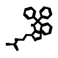 O=C(O)NCCn1nccc1NC(c1ccccc1)(c1ccccc1)c1ccccc1